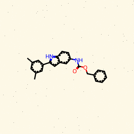 Cc1cc(C)cc(-c2cc3cc(NC(=O)OCc4ccccc4)ccc3[nH]2)c1